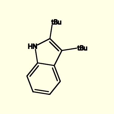 CC(C)(C)c1[nH]c2ccccc2c1C(C)(C)C